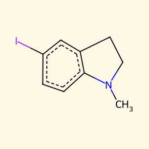 CN1CCc2cc(I)ccc21